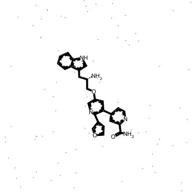 NC(=O)c1cc(-c2cc(OC[C@@H](N)Cc3c[nH]c4ccccc34)cnc2-c2ccoc2)ccn1